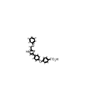 O=C(O)c1ccc(Oc2ccc(-c3c[nH]c(COc4ccccc4)n3)cc2)cc1